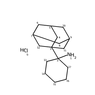 Cl.NC1(C23CC4CC(CC(C4)C2)C3)CCCCC1